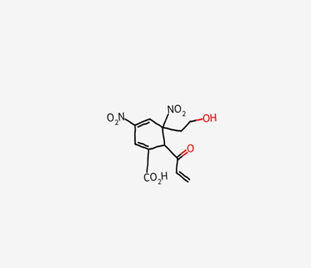 C=CC(=O)C1C(C(=O)O)=CC([N+](=O)[O-])=CC1(CCO)[N+](=O)[O-]